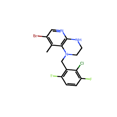 Cc1c(Br)cnc2c1N(Cc1c(F)ccc(F)c1Cl)CCN2